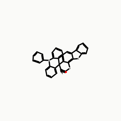 c1ccc(N2c3ccccc3C3(c4ccccc4Sc4c3ccc3c4sc4ccccc43)c3ccccc32)cc1